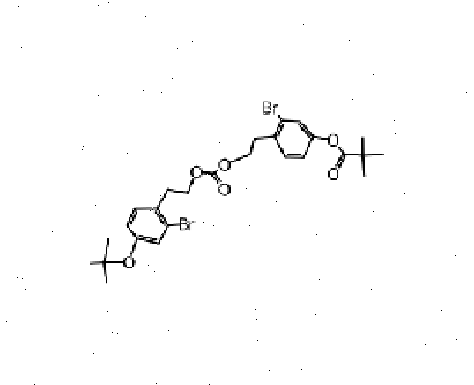 CC(C)(C)Oc1ccc(CCOC(=O)OCCc2ccc(OC(=O)C(C)(C)C)cc2Br)c(Br)c1